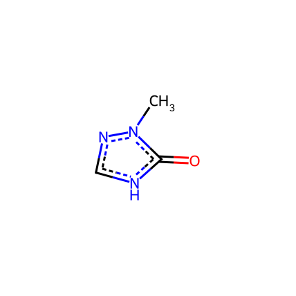 Cn1nc[nH]c1=O